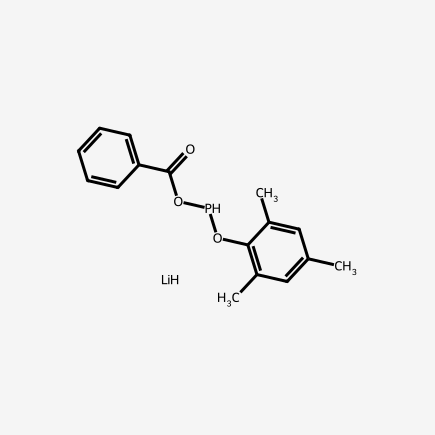 Cc1cc(C)c(OPOC(=O)c2ccccc2)c(C)c1.[LiH]